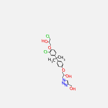 CC(C)(c1ccc(OC[C@@H](O)Cn2cc(CO)nn2)cc1)c1ccc(OC[C@@H](O)CCl)c(Cl)c1